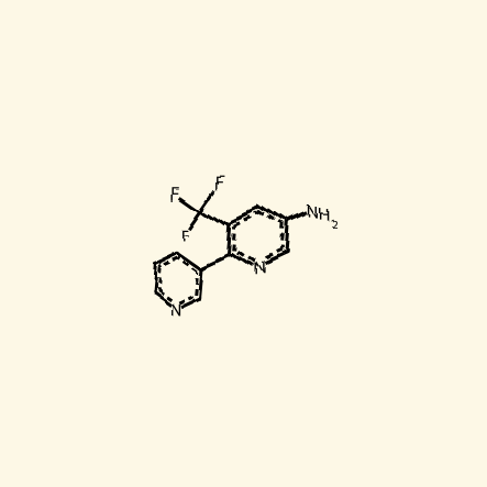 Nc1cnc(-c2cccnc2)c(C(F)(F)F)c1